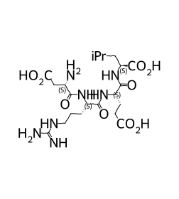 CC(C)C[C@H](NC(=O)[C@H](CCC(=O)O)NC(=O)[C@H](CCCNC(=N)N)NC(=O)[C@@H](N)CC(=O)O)C(=O)O